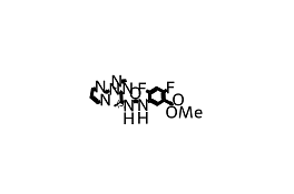 COC(=O)c1cc(NC(=O)N[C@@H](C)c2ncnn2-c2ncccn2)c(F)cc1F